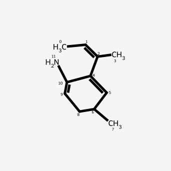 C/C=C(/C)C1=CC(C)CC=C1N